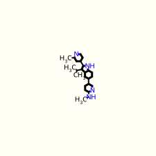 CNc1ccc(-c2ccc3[nH]c(-c4ccnc(C)c4)c(C(C)C)c3c2)cn1